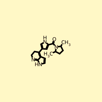 CC1CCC(C)N1C(=O)c1cc(C2=c3cc[nH]c3=NCC2)c[nH]1